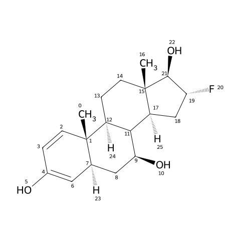 C[C@]12C=CC(O)=C[C@@H]1C[C@H](O)C1[C@@H]2CC[C@@]2(C)[C@H]1C[C@@H](F)[C@@H]2O